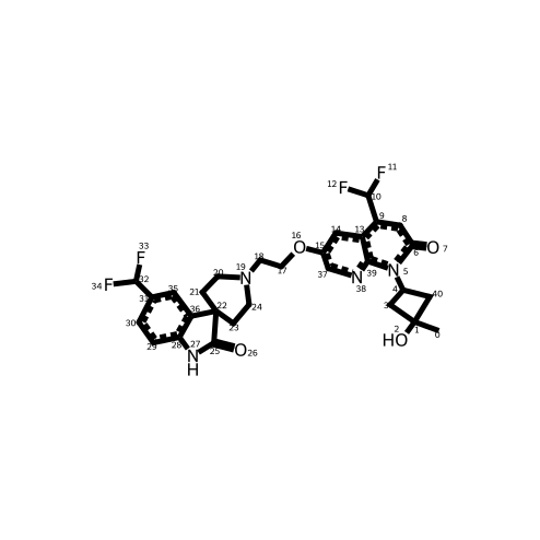 CC1(O)CC(n2c(=O)cc(C(F)F)c3cc(OCCN4CCC5(CC4)C(=O)Nc4ccc(C(F)F)cc45)cnc32)C1